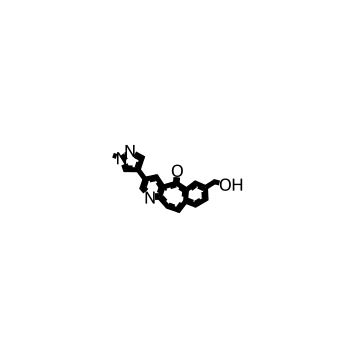 Cn1cc(-c2cnc3ccc4ccc(CO)cc4c(=O)c3c2)cn1